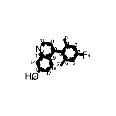 Cc1cc(F)cc(C)c1-c1ccnc2cc(O)ccc12